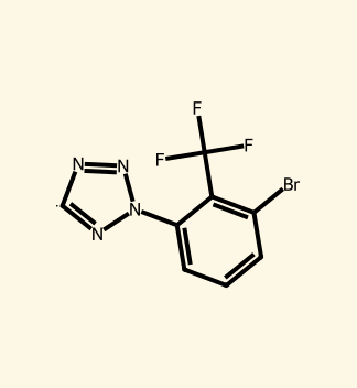 FC(F)(F)c1c(Br)cccc1-n1n[c]nn1